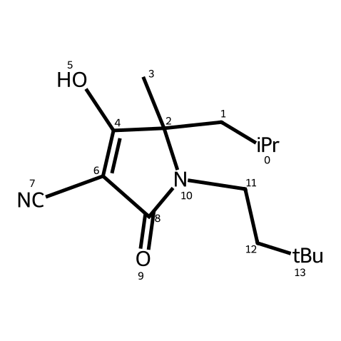 CC(C)CC1(C)C(O)=C(C#N)C(=O)N1CCC(C)(C)C